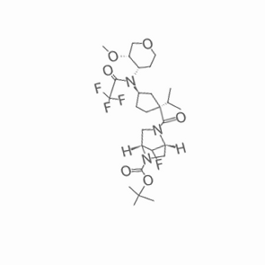 CO[C@@H]1COCC[C@@H]1N(C(=O)C(F)(F)F)[C@@H]1CC[C@@](C(=O)N2C[C@@H]3C(F)[C@H]2CN3C(=O)OC(C)(C)C)(C(C)C)C1